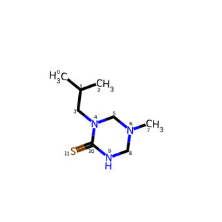 CC(C)CN1CN(C)CNC1=S